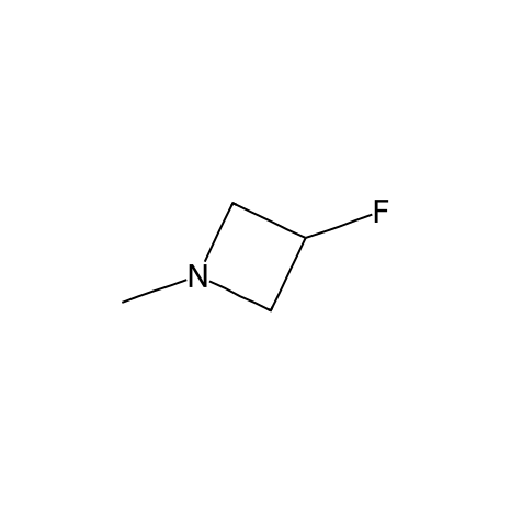 CN1CC(F)C1